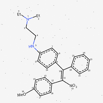 CCN(CC)CCNc1ccc(C(=C(c2ccc(OC)cc2)[N+](=O)[O-])c2ccccc2)cc1